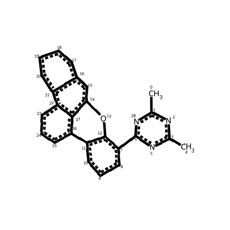 Cc1nc(C)nc(-c2cccc3c2Oc2cc4ccccc4c4cccc-3c24)n1